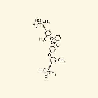 Cc1cc(C#CC(C)(C)O)cc(Oc2ccc(S(=O)(=O)c3ccccc3Oc3ccc(C#CC(C)(C)O)cc3C)cc2)c1